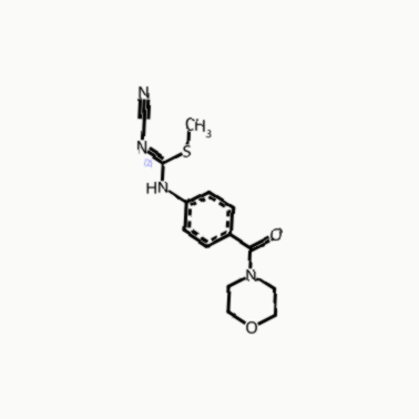 CS/C(=N\C#N)Nc1ccc(C(=O)N2CCOCC2)cc1